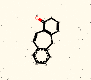 O=C1CC=CC2=C1C=Cc1ccccc1C2